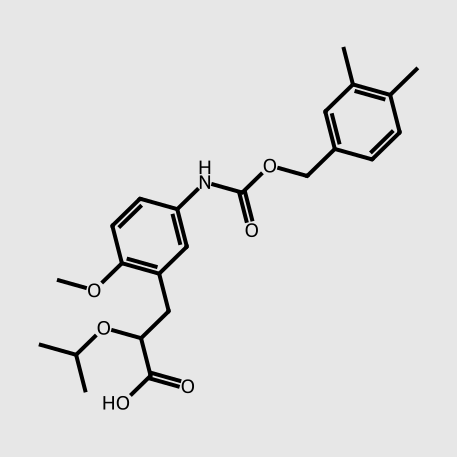 COc1ccc(NC(=O)OCc2ccc(C)c(C)c2)cc1CC(OC(C)C)C(=O)O